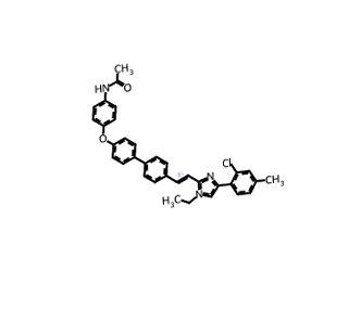 CCn1cc(-c2ccc(C)cc2Cl)nc1/C=C/c1ccc(-c2ccc(Oc3ccc(NC(C)=O)cc3)cc2)cc1